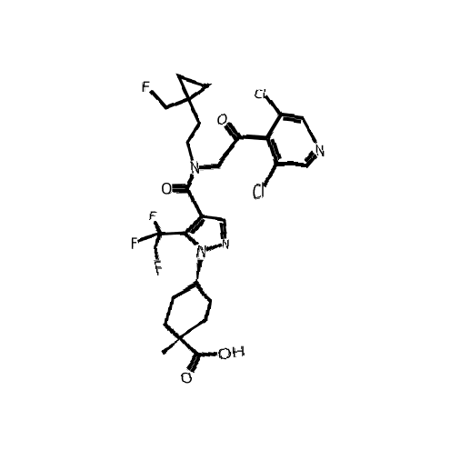 C[C@]1(C(=O)O)CC[C@H](n2ncc(C(=O)N(CCC3(CF)CC3)CC(=O)c3c(Cl)cncc3Cl)c2C(F)(F)F)CC1